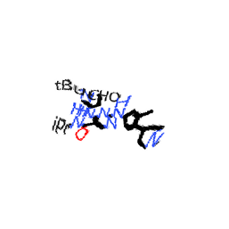 C/C=C\C(=C/N(C=O)C(C)(C)C)Nc1nc(Nc2ccc(C3CCN(C)CC3)c(C)c2)ncc1C(=O)NC(C)C